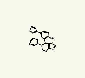 Nc1ccc(-c2ccsc2)cc1C1c2scnc2CCN1c1cccnc1